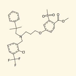 COC(=O)c1ccc(OCCCN(Cc2cccc(C(F)(F)F)c2Cl)CC(C)(C)c2ccccc2)cc1S(C)(=O)=O